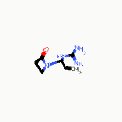 C=CC(NC(=N)N)N1CCC1=O